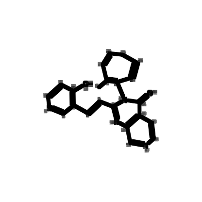 CC1=C(n2c(/C=C/c3cnccc3O)nc3cnccc3c2=O)C#CCC=C1